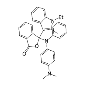 CCn1c(C)c(C2(N(c3ccccc3)c3ccc(N(C)C)cc3)OC(=O)c3ccccc32)c2ccccc21